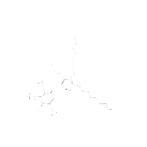 CCCCCCCCCc1cccc(OP(O)O)c1CCCCCCCCC.O=C1C=C(N2CC2)C(=O)C(N2CC2)=C1N1CC1